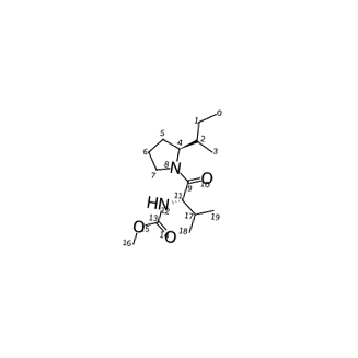 CCC(C)[C@@H]1CCCN1C(=O)[C@@H](NC(=O)OC)C(C)C